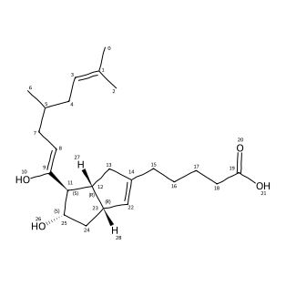 CC(C)=CCC(C)CC=C(O)[C@H]1[C@@H]2CC(CCCCC(=O)O)=C[C@@H]2C[C@@H]1O